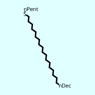 CCCCCCCCCCCCCCCCCCCCCCCCCCCCSCCCCC